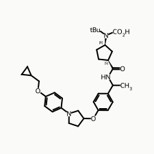 CC(NC(=O)[C@H]1CC[C@@H](N(C(=O)O)C(C)(C)C)C1)c1ccc(OC2CCN(c3ccc(OCC4CC4)cc3)C2)cc1